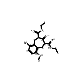 CCOC(=O)C1Cc2c(Br)ccc(OC)c2CC(C(=O)OCC)C1=O